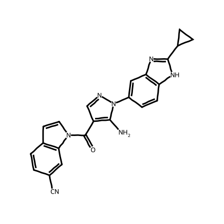 N#Cc1ccc2ccn(C(=O)c3cnn(-c4ccc5[nH]c(C6CC6)nc5c4)c3N)c2c1